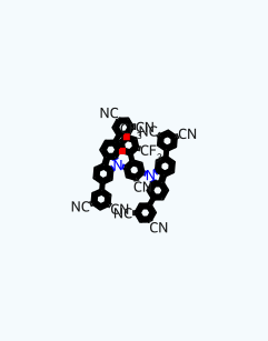 N#Cc1cc(C#N)cc(-c2ccc3c4ccc(-c5cc(C#N)cc(C#N)c5)cc4n(-c4cc(-c5ccc(C(F)(F)F)cc5C(F)(F)F)c(-n5c6cc(-c7cc(C#N)cc(C#N)c7)ccc6c6ccc(-c7cc(C#N)cc(C#N)c7)cc65)cc4C#N)c3c2)c1